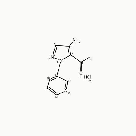 CC(=O)c1c(N)cnn1-c1cccnc1.Cl